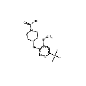 COc1cc(C(F)(F)F)nnc1NC1CCN(C(=O)O)CC1